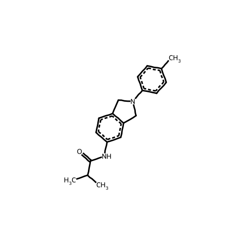 Cc1ccc(N2Cc3ccc(NC(=O)C(C)C)cc3C2)cc1